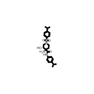 CC(C)c1ccc(NC(=O)C2(N)CCN(S(=O)(=O)c3ccc(C(C)C)cc3)CC2)cc1.Cl